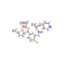 CC[C@@H]1CN(Cc2cc(C(CC(=O)OC)c3ccc(C(C)=O)s3)ccc2C)Sc2cnccc2O1